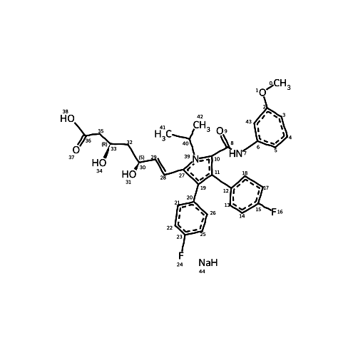 COc1cccc(NC(=O)c2c(-c3ccc(F)cc3)c(-c3ccc(F)cc3)c(C=C[C@@H](O)C[C@@H](O)CC(=O)O)n2C(C)C)c1.[NaH]